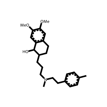 COc1cc2c(cc1OC)C(O)C(CCCN(C)CCc1ccc(C)cc1)CC2